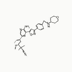 C=N/C(=C\C(=C/C)c1cnc(N)c(-c2cc(-c3ccc(CNC4CCOCC4)cc3)no2)n1)C(C)(C)C#N